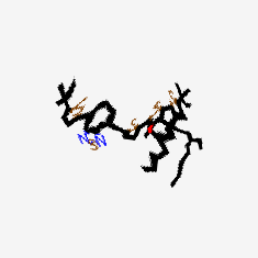 CCCCCC(CC)CC1(CC(CC)CCCC)c2cc(-c3ccc(-c4ccc(-c5ccc(C(C)(C)C)s5)c5nsnc45)s3)sc2-c2sc(C(C)(C)C)cc21